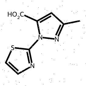 Cc1cc(C(=O)O)n(-c2nccs2)n1